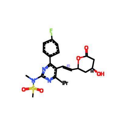 CC(C)c1nc(N(C)S(C)(=O)=O)nc(-c2ccc(F)cc2)c1/C=C/C1C[C@H](O)CC(=O)O1